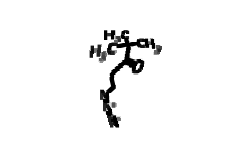 CC(C)(C)C(=O)CCN=[N+]=[N-]